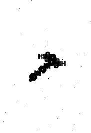 Cc1ccc(N=Nc2ccc(N=Nc3cc(S(=O)(=O)O)c4cccc(S(=O)(=O)O)c4c3)cc2)cc1